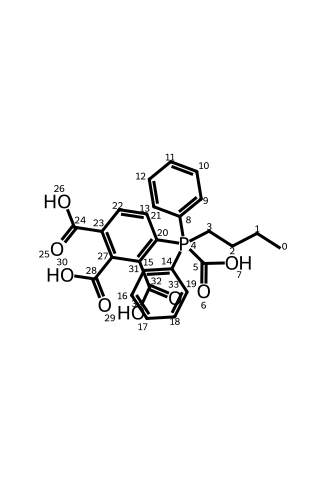 CCCCP(C(=O)O)(c1ccccc1)(c1ccccc1)c1ccc(C(=O)O)c(C(=O)O)c1C(=O)O